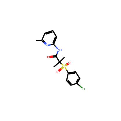 Cc1cccc(NC(=O)C(C)(C)S(=O)(=O)c2ccc(Cl)cc2)n1